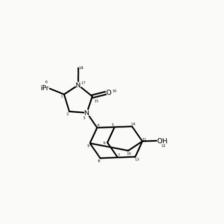 CC(C)C1CN(C2C3CC4CC2CC(O)(C4)C3)C(=O)N1C